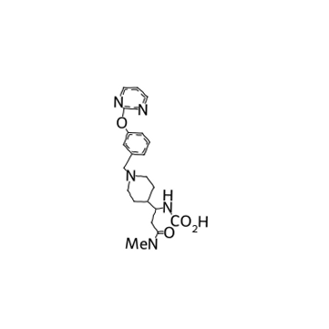 CNC(=O)CC(NC(=O)O)C1CCN(Cc2cccc(Oc3ncccn3)c2)CC1